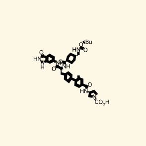 Cc1cc(C(=O)N[C@H]2CCN(C(=O)O)C2)ccc1-c1ccc(C[C@H](NC(=O)[C@H]2CC[C@H](CNC(=O)OC(C)(C)C)CC2)C(=O)Nc2ccc3c(=O)[nH][nH]c3c2)cc1